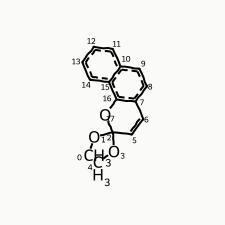 COC1(OC)C=Cc2ccc3ccccc3c2O1